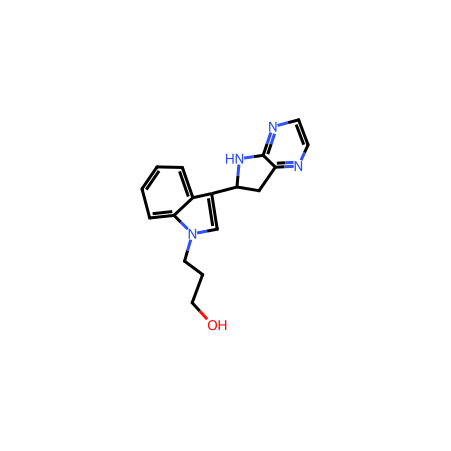 OCCCn1cc(C2Cc3nccnc3N2)c2ccccc21